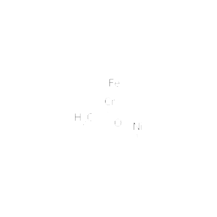 C=O.[Cr].[Fe].[Ni]